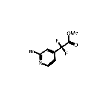 COC(=O)C(F)(F)c1ccnc(Br)c1